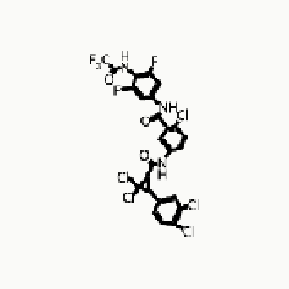 O=C(Nc1cc(F)c(NC(=O)C(F)(F)F)c(F)c1)c1cc(NC(=O)C2C(c3ccc(Cl)c(Cl)c3)C2(Cl)Cl)ccc1Cl